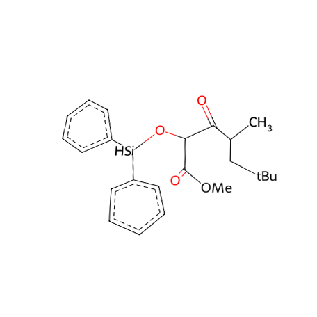 COC(=O)C(O[SiH](c1ccccc1)c1ccccc1)C(=O)C(C)CC(C)(C)C